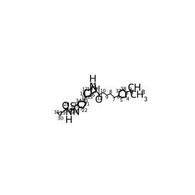 CC(C)c1ccc(CCCCC(=O)c2c[nH]c3ccc(-c4ccc5nc(NC(=O)C6CC6)sc5c4)cc23)cc1